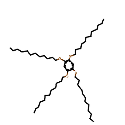 CCCCCCCCCCCCSc1cc(SCCCCCCCCCCCC)c(SCCCCCCCCCCCC)cc1SCCCCCCCCCCCC